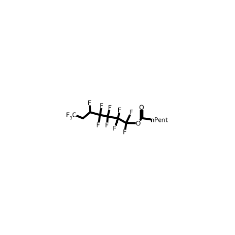 CCCCCC(=O)OC(F)(F)C(F)(F)C(F)(F)C(F)(F)C(F)CC(F)(F)F